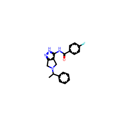 CC(c1ccccc1)N1Cc2n[nH]c(NC(=O)c3ccc(F)cc3)c2C1